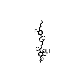 CCCCCc1ccc(C2CCC(CCCC(=O)c3ccc(OCC)c(CF)c3O)CO2)cc1F